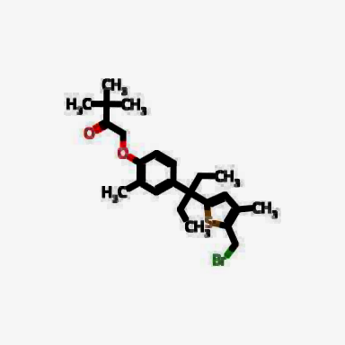 CCC(CC)(c1ccc(OCC(=O)C(C)(C)C)c(C)c1)c1cc(C)c(CBr)s1